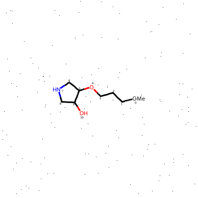 COCCCOC1CNCC1O